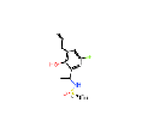 C=CCc1cc(F)cc(C(C)N[S@+]([O-])C(C)(C)C)c1O